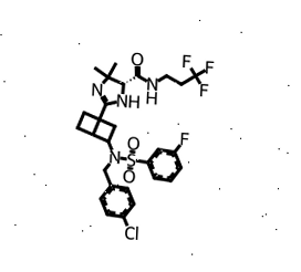 CC1(C)N=C(C23CCC2C(N(Cc2ccc(Cl)cc2)S(=O)(=O)c2cccc(F)c2)C3)N[C@H]1C(=O)NCCC(F)(F)F